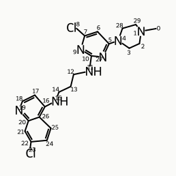 CN1CCN(c2cc(Cl)nc(NCCCNc3ccnc4cc(Cl)ccc34)n2)CC1